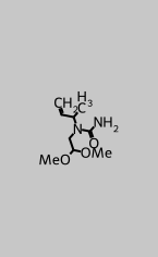 C=CC(C)N(CC(OC)OC)C(N)=O